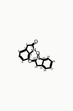 O=C1Cc2ccccc2N1ON1C(=O)Cc2ccccc21